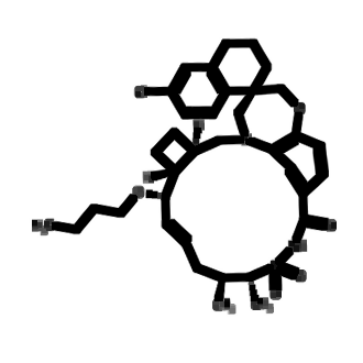 CCCCO[C@H]1/C=C/C[C@H](C)[C@@H](C)S(=O)(=O)NC(=O)c2ccc3c(c2)N(C[C@@H]2CC[C@H]21)C[C@@]1(CCCc2cc(Cl)ccc21)CO3